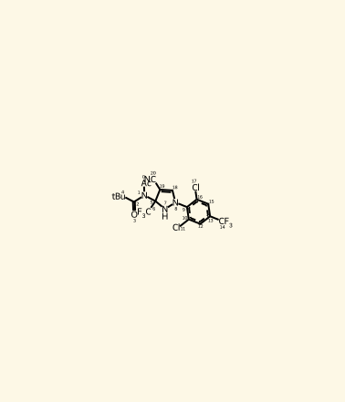 CC(=O)N(C(=O)C(C)(C)C)C1(C(F)(F)F)NN(c2c(Cl)cc(C(F)(F)F)cc2Cl)C=C1C#N